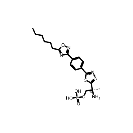 CCCCCCc1nc(-c2ccc(-c3nnc([C@@](C)(N)COP(=O)(O)O)s3)cc2)no1